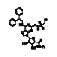 CCNC(=O)[C@H]1O[C@@H](n2cnc3c(NCC(c4ccccc4)c4ccccc4)nc(CNS(=O)(=O)CC(C)C)nc32)[C@H](O)[C@@H]1O